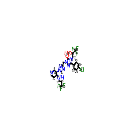 O=c1n(Cc2ncn(-c3cnccc3NCCC(F)(F)F)n2)nc(-c2ccc(Cl)cc2)n1CC(O)C(F)(F)F